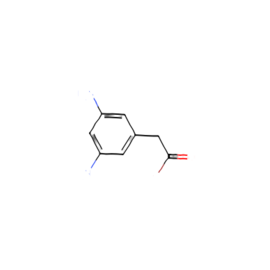 Nc1cc(N)cc(CC(=O)Br)c1